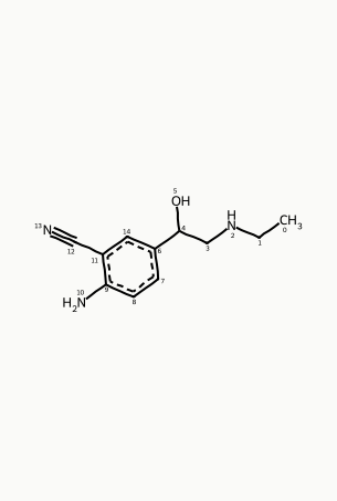 CCNCC(O)c1ccc(N)c(C#N)c1